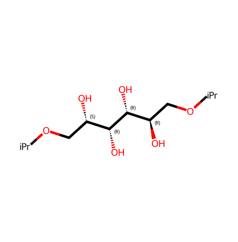 CC(C)OC[C@@H](O)[C@@H](O)[C@H](O)[C@@H](O)COC(C)C